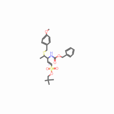 COc1ccc(CSC(C)C(/C=C/S(=O)(=O)OCC(C)(C)C)NC(=O)OCc2ccccc2)cc1